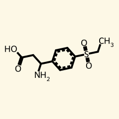 CCS(=O)(=O)c1ccc(C(N)CC(=O)O)cc1